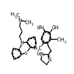 CN(C)CCCN1c2ccccc2Sc2ccccc21.Cc1cc(C(C)(C)C)c(O)c(C)c1CC1=NCCN1